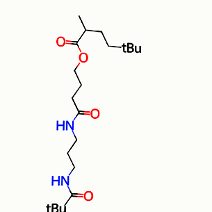 CC(CCC(C)(C)C)C(=O)OCCCC(=O)NCCCNC(=O)C(C)(C)C